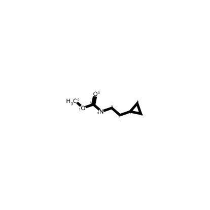 COC(=O)[N]CCC1CC1